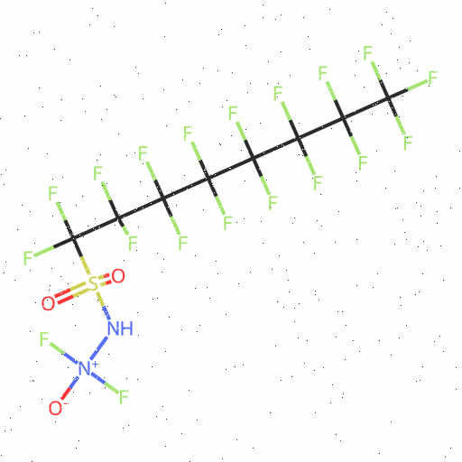 O=S(=O)(N[N+]([O-])(F)F)C(F)(F)C(F)(F)C(F)(F)C(F)(F)C(F)(F)C(F)(F)C(F)(F)C(F)(F)F